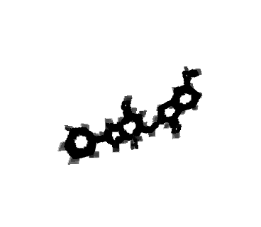 COc1ccc2c(c1)CN(Cc1cc(=O)n3nc(-c4ccccc4)nc3[nH]1)C2=O